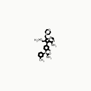 COCc1c(-c2ccc(N(C(N)=O)c3cccc(C)c3)c(F)c2)c2c(N)ncnn2c1CN1CCOCC1